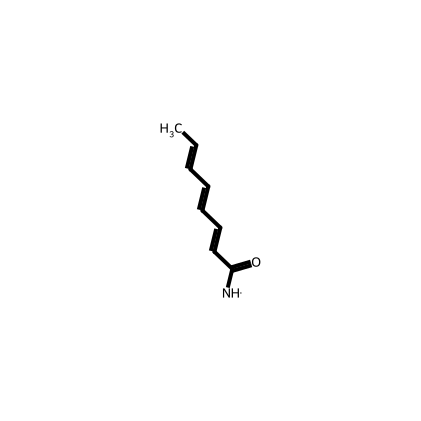 CC=CC=CC=CC([NH])=O